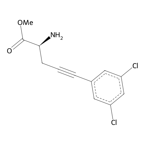 COC(=O)[C@@H](N)CC#Cc1cc(Cl)cc(Cl)c1